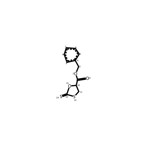 O=C(OCc1ccccc1)C1CSC(=S)O1